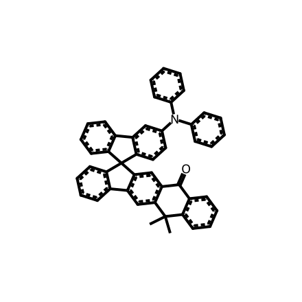 CC1(C)c2ccccc2C(=O)c2cc3c(cc21)-c1ccccc1C31c2ccccc2-c2cc(N(c3ccccc3)c3ccccc3)ccc21